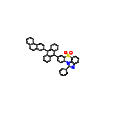 O=S1(=O)c2cc(-c3c4ccccc4c(-c4ccc5c(ccc6ccccc65)c4)c4ccccc34)ccc2-n2c(-c3ccccc3)nc3cccc1c32